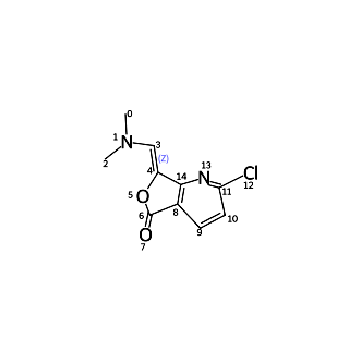 CN(C)/C=C1\OC(=O)c2ccc(Cl)nc21